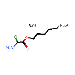 CCCCCCCCCCCCOC(=O)C(N)Cl.[NaH]